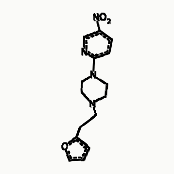 O=[N+]([O-])c1ccc(N2CCN(CCc3ccco3)CC2)nc1